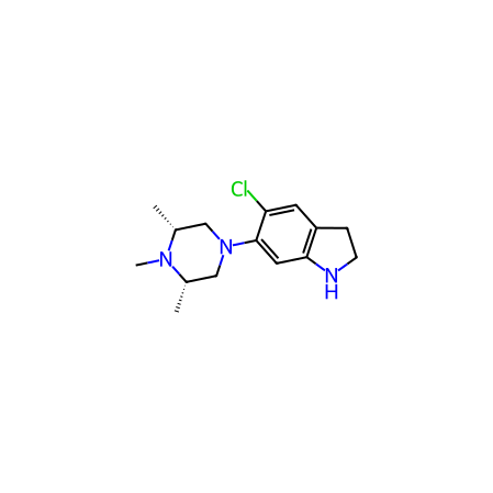 C[C@@H]1CN(c2cc3c(cc2Cl)CCN3)C[C@H](C)N1C